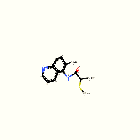 CCCCCCCCC(SCCCCCC)C(=O)Nc1c(SC)ccc2ncccc12